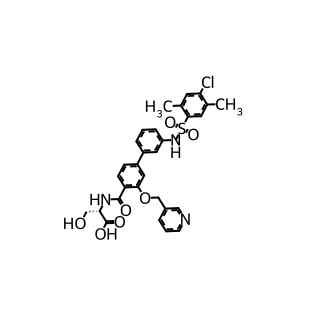 Cc1cc(S(=O)(=O)Nc2cccc(-c3ccc(C(=O)N[C@@H](CO)C(=O)O)c(OCc4cccnc4)c3)c2)c(C)cc1Cl